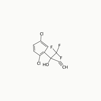 C#CC(O)(c1cc(Cl)ccc1Cl)C(F)(F)F